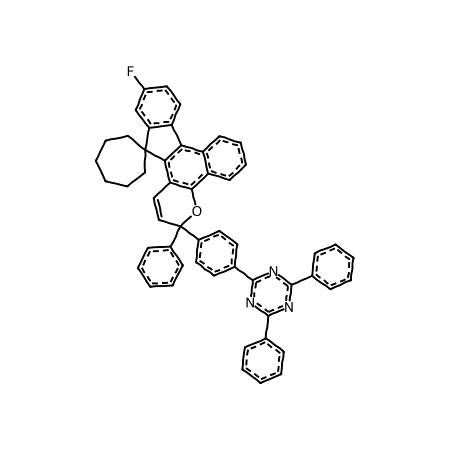 Fc1ccc2c(c1)C1(CCCCCC1)c1c3c(c4ccccc4c1-2)OC(c1ccccc1)(c1ccc(-c2nc(-c4ccccc4)nc(-c4ccccc4)n2)cc1)C=C3